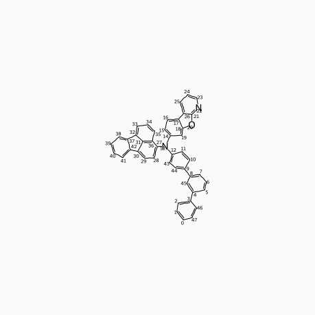 c1ccc(-c2cccc(-c3ccc(N(c4ccc5c(c4)oc4ncccc45)c4ccc5c6c(cccc46)-c4ccccc4-5)cc3)c2)cc1